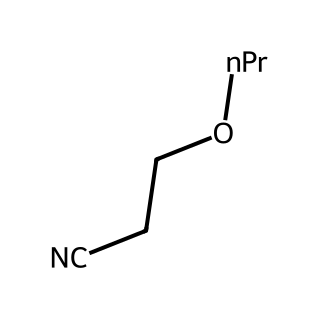 CCCOCCC#N